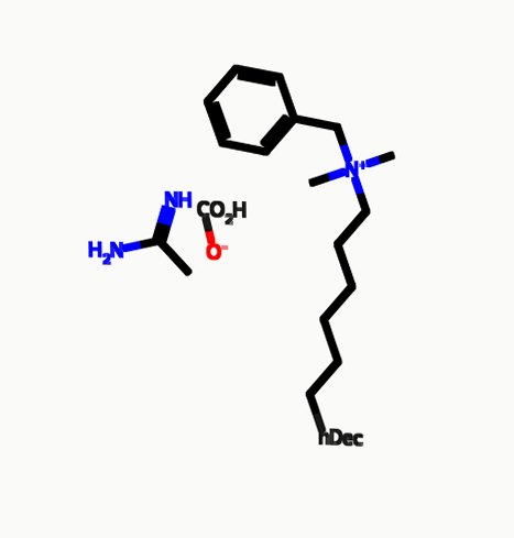 CC(=N)N.CCCCCCCCCCCCCCCC[N+](C)(C)Cc1ccccc1.O=C([O-])O